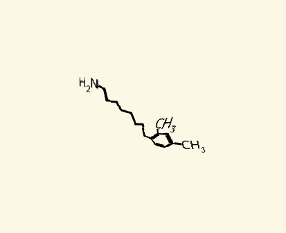 Cc1ccc(CCCCCCCCN)c(C)c1